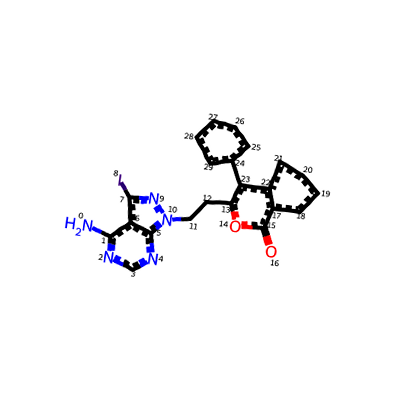 Nc1ncnc2c1c(I)nn2CCc1oc(=O)c2ccccc2c1-c1ccccc1